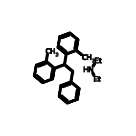 CCNCC.Cc1ccccc1C(Cc1ccccc1)c1ccccc1C